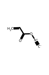 [C-]#[N+]OC(=O)C=C